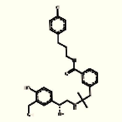 CC(C)(Cc1cccc(C(=O)NCCCc2ccc(Cl)cc2)c1)NC[C@H](O)c1ccc(O)c(CO)c1